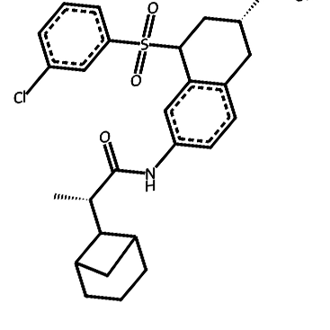 C[C@H](C(=O)Nc1ccc2c(c1)C(S(=O)(=O)c1cccc(Cl)c1)C[C@H](CO)C2)C1C2CCCC1C2